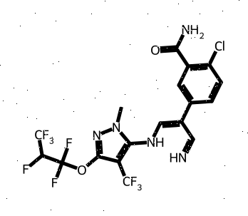 Cn1nc(OC(F)(F)C(F)C(F)(F)F)c(C(F)(F)F)c1N/C=C(\C=N)c1ccc(Cl)c(C(N)=O)c1